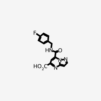 O=C(O)c1cc(C(=O)NCc2ccc(F)cc2)n2nccc2n1